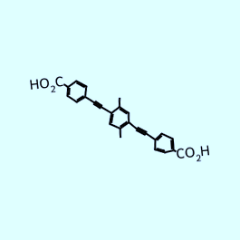 Cc1cc(C#Cc2ccc(C(=O)O)cc2)c(C)cc1C#Cc1ccc(C(=O)O)cc1